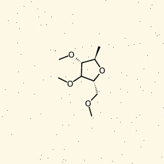 COC[C@H]1O[C@H](C)[C@@H](OC)C1OC